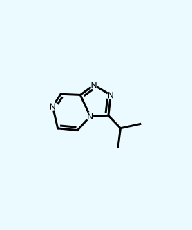 CC(C)c1nnc2cnccn12